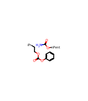 CC(C)CCOC(=O)Oc1ccccc1.CCCCCOC(N)=O